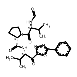 CC(C)[C@H](NC(=O)[C@@H]1CCCN1C(=O)[C@@H](NC=O)C(C)C)C(=O)c1nnc(-c2ccccc2)o1